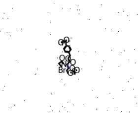 CC/C(OS(C)(=O)=O)=C(/C(=O)OCc1ccc([N+](=O)[O-])cc1)N1C(=O)CC1Br